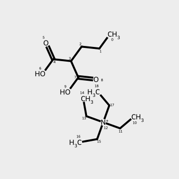 CCCC(C(=O)O)C(=O)O.CC[N+](CC)(CC)CC